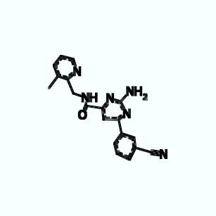 Cc1cccnc1CNC(=O)c1cc(-c2cccc(C#N)c2)nc(N)n1